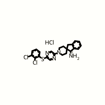 Cl.N[C@@H]1c2ccccc2CC12CCN(c1cnc(Sc3cccc(Cl)c3Cl)cn1)CC2